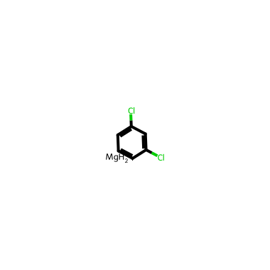 Clc1[c]ccc(Cl)c1.[MgH2]